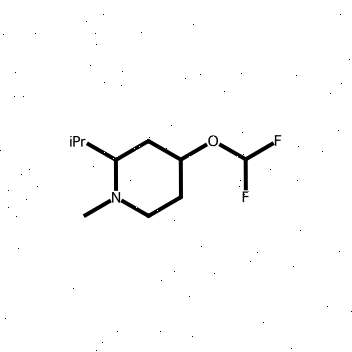 CC(C)C1CC(OC(F)F)CCN1C